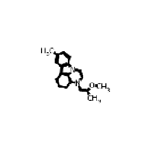 COC(C)CN1CCn2c3c(c4cc(C)ccc42)CCCC31